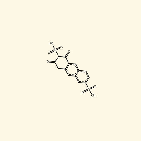 O=C1Cc2cc3cc(S(=O)(=O)O)ccc3cc2C(=O)C1S(=O)(=O)O